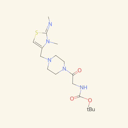 C/N=c1\scc(CN2CCN(C(=O)CNC(=O)OC(C)(C)C)CC2)n1C